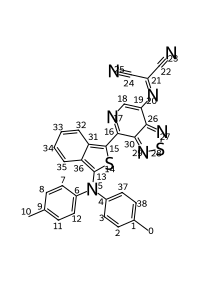 Cc1ccc(N(c2ccc(C)cc2)c2sc(-c3ncc(N=C(C#N)C#N)c4nsnc34)c3ccccc23)cc1